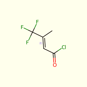 C/C(=C\C(=O)Cl)C(F)(F)F